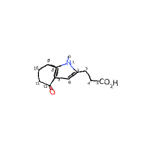 Cn1c(CCC(=O)O)cc2c1CCCC2=O